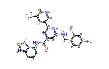 O=C(Nc1cccc2nsnc12)c1cc(NCc2ccc(F)cc2F)nc(-c2cncc(C(F)(F)F)c2)n1